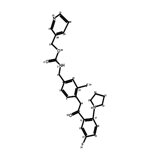 O=C(NCc1ccc(CC(=O)c2cc(F)ccc2N2CCCC2)c(F)c1)OCc1cccnc1